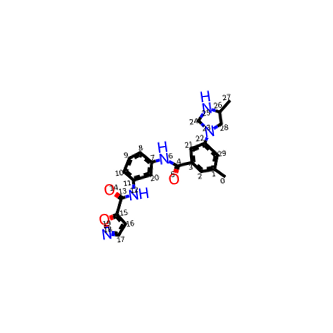 Cc1cc(C(=O)Nc2cccc(NC(=O)c3ccno3)c2)cc(N2CNC(C)C2)c1